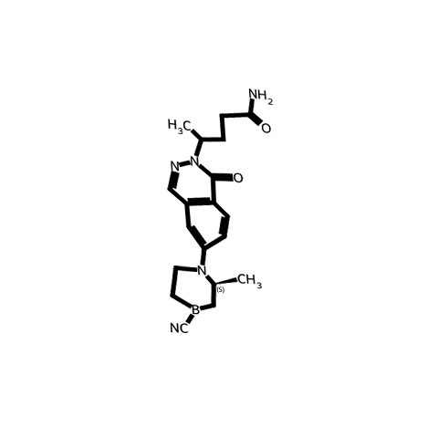 CC(CCC(N)=O)n1ncc2cc(N3CCB(C#N)C[C@@H]3C)ccc2c1=O